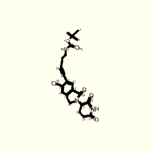 CC(C)(C)OC(=O)NCCC#Cc1cc2c(cc1Cl)CN(C1CCC(=O)NC1=O)C2=O